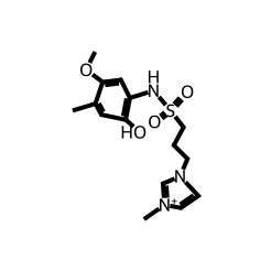 COc1cc(NS(=O)(=O)CCCn2cc[n+](C)c2)c(O)cc1C